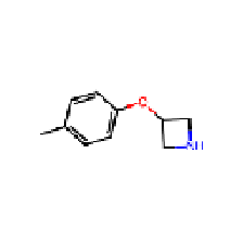 Cc1ccc(OC2CNC2)cc1